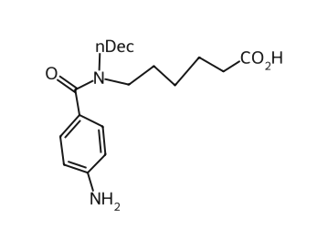 CCCCCCCCCCN(CCCCCC(=O)O)C(=O)c1ccc(N)cc1